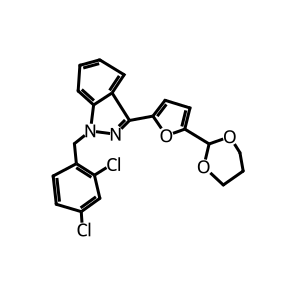 Clc1ccc(Cn2nc(-c3ccc(C4OCCCO4)o3)c3ccccc32)c(Cl)c1